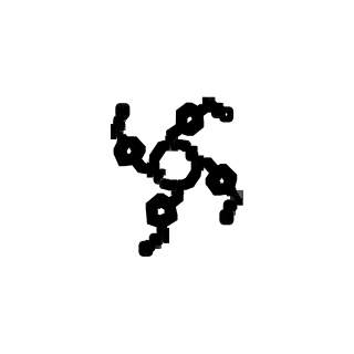 O=C=Nc1ccc(CN2CCN(Cc3ccc(N=C=O)cc3)CCN(Cc3cccc(N=C=O)c3)CCN(Cc3ccc(N=C=O)cc3)CC2)cc1